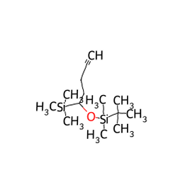 C#CCCC(O[Si](C)(C)C(C)(C)C)[Si](C)(C)C